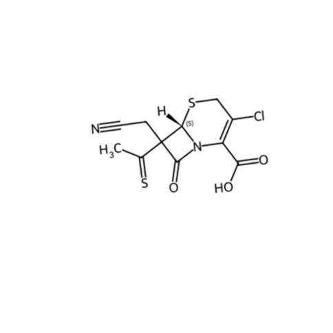 CC(=S)C1(CC#N)C(=O)N2C(C(=O)O)=C(Cl)CS[C@H]21